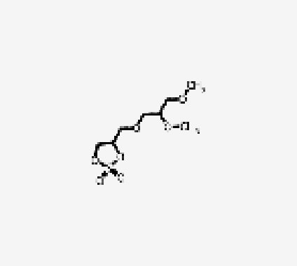 COCC(COCC1COS(=O)(=O)O1)OC